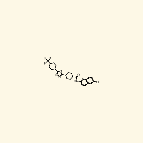 O=C(Nc1ccc2cc(Cl)ccc2n1)[C@H]1CC[C@H](c2nnc(C3CCC(C(F)(F)F)CC3)o2)CC1